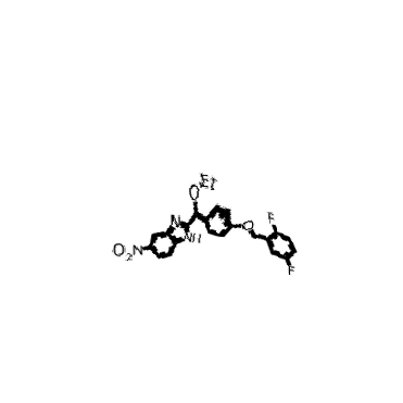 CCOC(c1ccc(OCc2cc(F)ccc2F)cc1)c1nc2cc([N+](=O)[O-])ccc2[nH]1